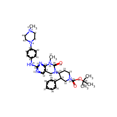 CN1CCN(c2ccc(Nc3ncc4c(n3)N(C)C(=O)N(C3CCN(C(=O)OC(C)(C)C)CC3c3ccccc3)C4)cc2)CC1